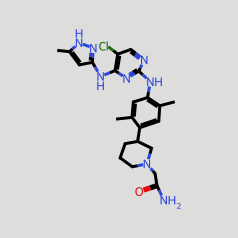 Cc1cc(Nc2nc(Nc3cc(C)c(C4CCCN(CC(N)=O)C4)cc3C)ncc2Cl)n[nH]1